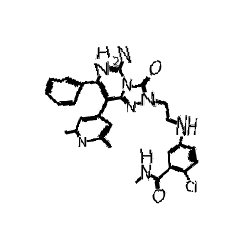 CNC(=O)c1cc(NCCn2nc3c(-c4cc(C)nc(C)c4)c(-c4ccccc4)nc(N)n3c2=O)ccc1Cl